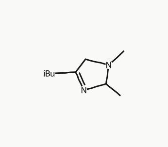 CCC(C)C1=NC(C)N(C)C1